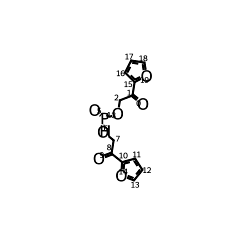 O=C(CO[PH](=O)OCC(=O)c1ccco1)c1ccco1